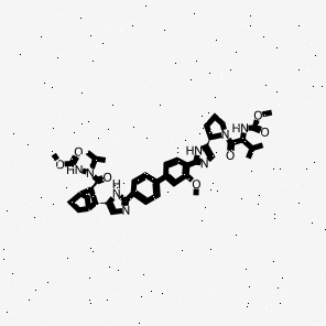 COC(=O)NC(C(=O)N1CCC[C@H]1c1cnc(-c2ccc(-c3ccc(-c4ncc([C@@H]5C6CCC(C6)[C@H]5C(=O)N(NC(=O)OC)C(C)C)[nH]4)cc3)cc2OC)[nH]1)C(C)C